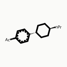 CCC[C@H]1CC[C@H](c2ccc(C(C)=O)cc2)CC1